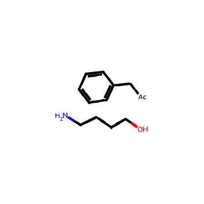 CC(=O)Cc1ccccc1.NCCCCO